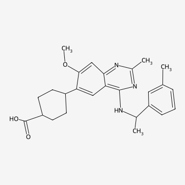 COc1cc2nc(C)nc(NC(C)c3cccc(C)c3)c2cc1C1CCC(C(=O)O)CC1